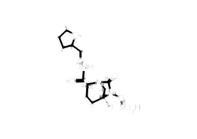 O=C(NOCC1CCCO1)[C@@H]1CC[C@@H]2CN1C(=O)N2OS(=O)(=O)O